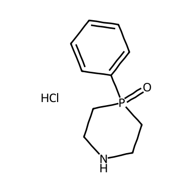 Cl.O=P1(c2ccccc2)CCNCC1